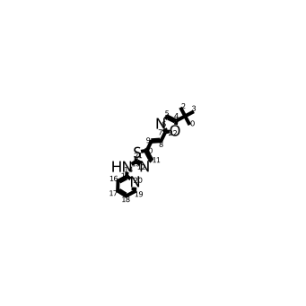 CC(C)(C)c1cnc(C=Cc2cnc(Nc3ccccn3)s2)o1